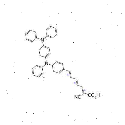 N#C\C(=C/C=C/C=C/C1=CCC(N(C2=CC=C(N(c3ccccc3)c3ccccc3)CC2)c2ccccc2)C=C1)C(=O)O